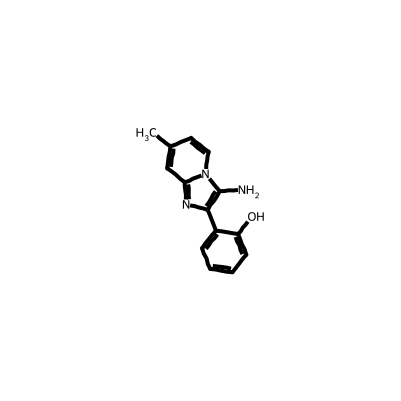 Cc1ccn2c(N)c(-c3ccccc3O)nc2c1